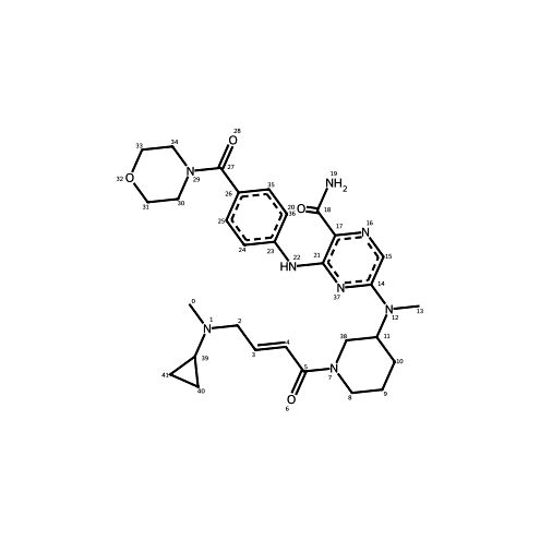 CN(CC=CC(=O)N1CCCC(N(C)c2cnc(C(N)=O)c(Nc3ccc(C(=O)N4CCOCC4)cc3)n2)C1)C1CC1